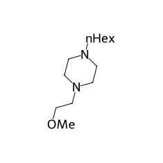 CCCCCCN1CCN(CCOC)CC1